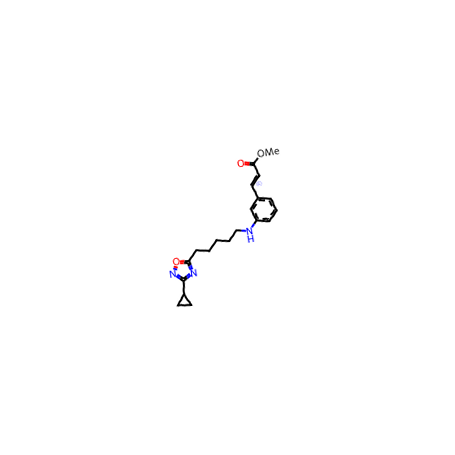 COC(=O)/C=C/c1cccc(NCCCCCc2nc(C3CC3)no2)c1